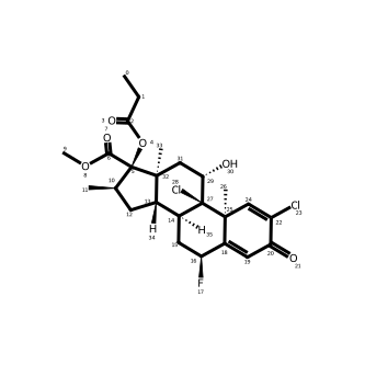 CCC(=O)O[C@]1(C(=O)OC)[C@H](C)C[C@H]2[C@@H]3C[C@H](F)C4=CC(=O)C(Cl)=C[C@]4(C)[C@@]3(Cl)[C@@H](O)C[C@@]21C